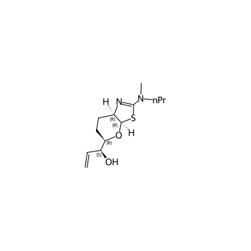 C=C[C@H](O)[C@H]1CC[C@H]2N=C(N(C)CCC)S[C@H]2O1